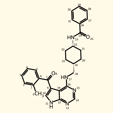 Cc1ccccc1C(=O)c1c[nH]c2ncnc(NC[C@H]3CC[C@@H](NC(=O)c4ccccc4)CC3)c12